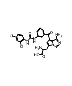 Nc1ncnn2c(CC(N)C(=O)O)cc(C(=O)c3cccc(NC(=O)Nc4ccc(Cl)cc4Cl)c3)c12